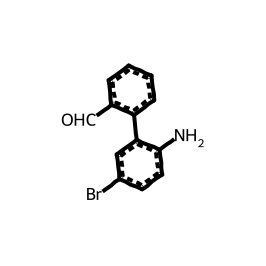 Nc1ccc(Br)cc1-c1ccccc1C=O